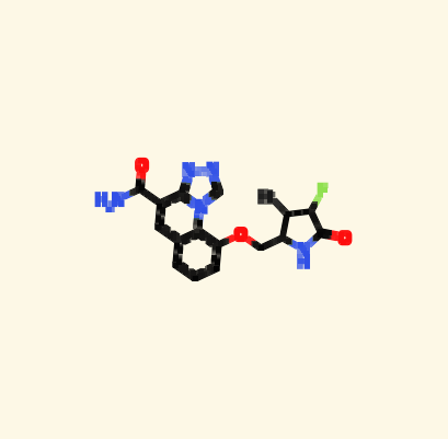 CCC1C(COc2cccc3cc(C(N)=O)c4nncn4c23)NC(=O)C1F